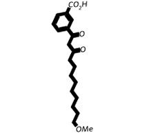 COCCCCCCCCCC(=O)CC(=O)c1cccc(C(=O)O)c1